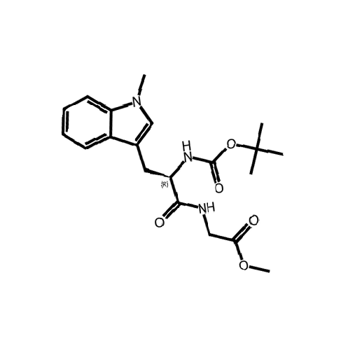 COC(=O)CNC(=O)[C@@H](Cc1cn(C)c2ccccc12)NC(=O)OC(C)(C)C